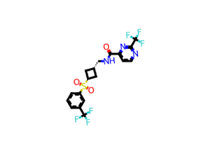 O=C(NC[C@H]1C[C@H](S(=O)(=O)c2cccc(C(F)(F)F)c2)C1)c1ccnc(C(F)(F)F)n1